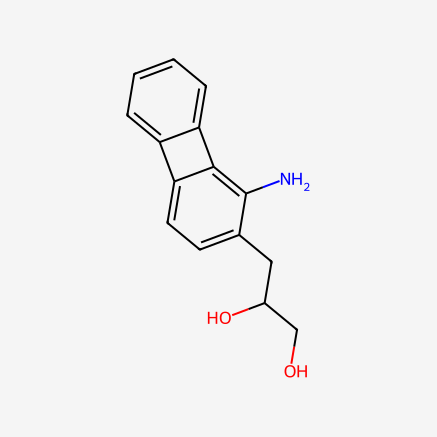 Nc1c(CC(O)CO)ccc2c1-c1ccccc1-2